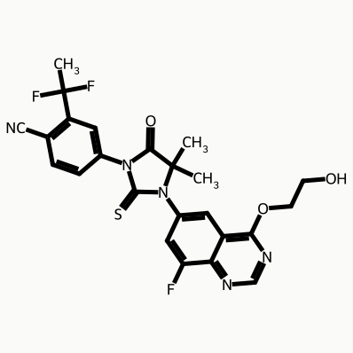 CC(F)(F)c1cc(N2C(=O)C(C)(C)N(c3cc(F)c4ncnc(OCCO)c4c3)C2=S)ccc1C#N